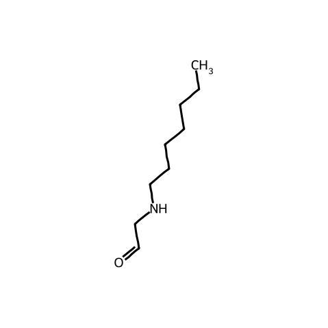 CCCCCCCNCC=O